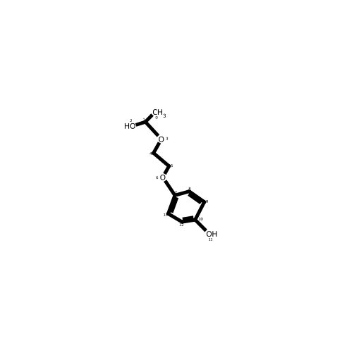 CC(O)OCCOc1ccc(O)cc1